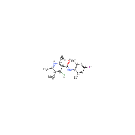 CCc1cc(I)cc(CC)c1NC(=O)c1c(C)nc(C)c(OC)c1Cl